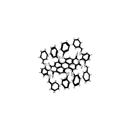 O=C1c2cc(Oc3ccccc3)c3c4c(Oc5ccccc5)cc5c6c(cc(Oc7ccccc7)c(c7c(Oc8ccccc8)cc(c2c37)C(=O)N1c1c(OCC2CCCCC2)cccc1OCC1CCCCC1)c64)C(=O)N(c1c(OCC2CCCCC2)cccc1OCC1CCCCC1)C5=O